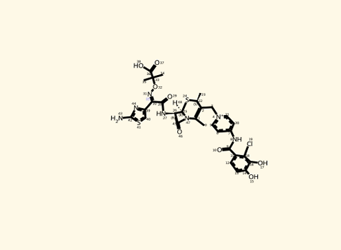 CC1=C(C[n+]2ccc(NC(=O)c3ccc(O)c(O)c3Cl)cc2)[C@H](C)S[C@@H]2[C@H](NC(=O)/C(=N\OC(C)(C)C(=O)O)c3csc(N)n3)C(=O)N12